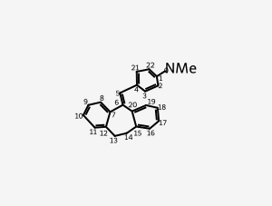 CNc1ccc(C=C2c3ccccc3CCc3ccccc32)cc1